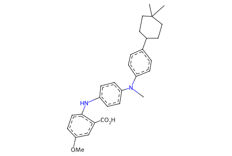 COc1ccc(Nc2ccc(N(C)c3ccc(C4CCC(C)(C)CC4)cc3)cc2)c(C(=O)O)c1